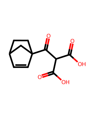 O=C(O)C(C(=O)O)C(=O)C12C=CC(CC1)C2